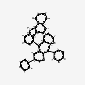 c1ccc(-c2ccc3c(-c4ccccc4)c4ccccc4c(-c4cccc5oc6c7ccccc7ccc6c45)c3c2)cc1